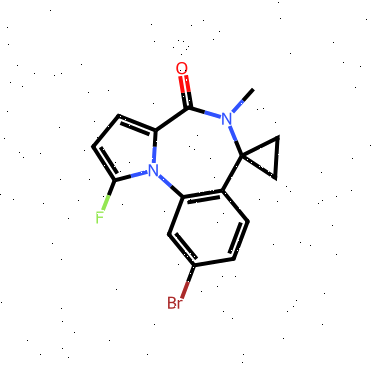 CN1C(=O)c2ccc(F)n2-c2cc(Br)ccc2C12CC2